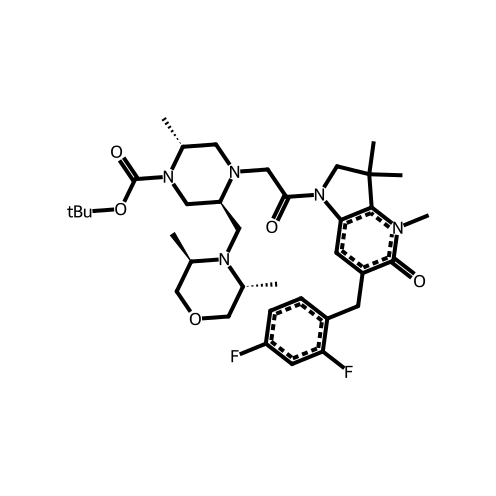 C[C@@H]1CN(CC(=O)N2CC(C)(C)c3c2cc(Cc2ccc(F)cc2F)c(=O)n3C)[C@@H](CN2[C@H](C)COC[C@H]2C)CN1C(=O)OC(C)(C)C